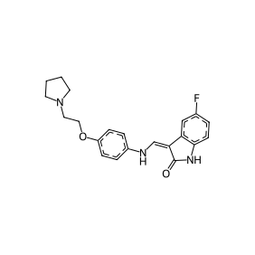 O=C1Nc2ccc(F)cc2C1=CNc1ccc(OCCN2CCCC2)cc1